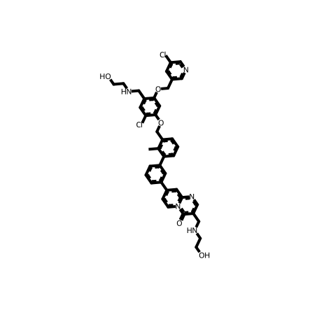 Cc1c(COc2cc(OCc3cncc(Cl)c3)c(CNCCO)cc2Cl)cccc1-c1cccc(-c2ccn3c(=O)c(CNCCO)cnc3c2)c1